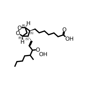 CCCCC(C)C(C=C[C@H]1[C@H](CCCCCCC(=O)O)[C@H]2C[C@H]1OO2)OO